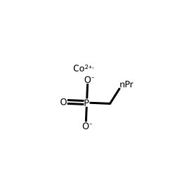 CCCCP(=O)([O-])[O-].[Co+2]